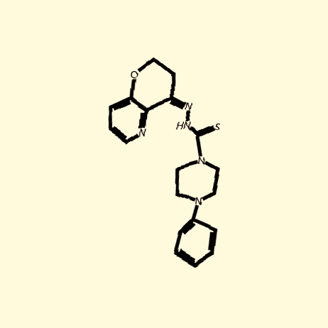 S=C(N/N=C1/CCOc2cccnc21)N1CCN(c2ccccc2)CC1